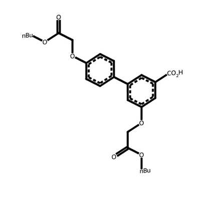 CCCCOC(=O)COc1ccc(-c2cc(OCC(=O)OCCCC)cc(C(=O)O)c2)cc1